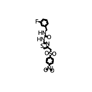 O=C(NCc1cccc(F)c1)Nc1nc(CS(=O)(=O)c2ccc([N+](=O)[O-])cc2)cs1